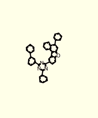 c1ccc(-c2cccc(-c3nc(-c4ccccc4)nc(-c4ccc5oc6cc(-c7ccccc7)c7ccccc7c6c5c4)n3)c2)cc1